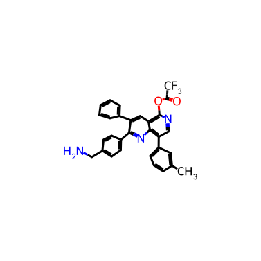 Cc1cccc(-c2cnc(OC(=O)C(F)(F)F)c3cc(-c4ccccc4)c(-c4ccc(CN)cc4)nc23)c1